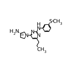 CCCc1cc(N2CC[C@H](N)C2)nc(Nc2cccc(SC)c2)n1